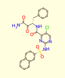 NC(=O)C(=O)[C@H](Cc1ccccc1)NC(=O)c1nc(NS(=O)(=O)c2ccc3ccccc3c2)ncc1Cl